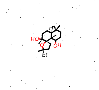 CC[C@@]1(C)CC[C@]2(O1)[C@@]1(C)C(O)CCC(C)(C)[C@@H]1CC[C@@]2(C)O